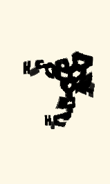 CCN1CCN(c2cc(N3CCC(C)CC3)c3c4c2NOC4c2ccccc2C3=O)CC1